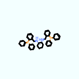 c1ccc(P(c2ccccc2)c2ccccc2CN[C@H]2CCCC[C@@H]2NCc2ccccc2P(c2ccccc2)c2ccccc2)cc1